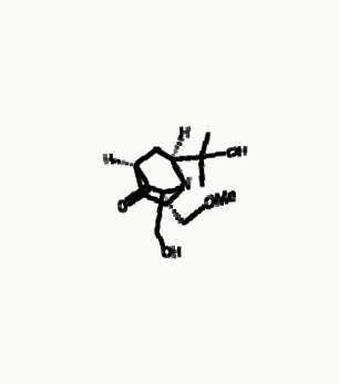 COC[C@]1(CO)C(=O)[C@H]2CCN1[C@H](C(C)(C)O)C2